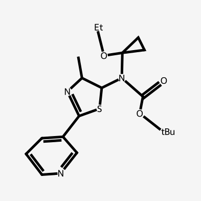 CCOC1(N(C(=O)OC(C)(C)C)C2SC(c3cccnc3)=NC2C)CC1